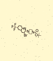 CC(C)(C)OC(=O)N1CCN(c2nc3ccc(C(F)(F)F)cc3cc2Br)CC1